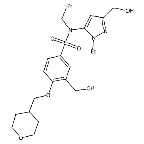 CCn1nc(CO)cc1N(CC(C)C)S(=O)(=O)c1ccc(OCC2CCOCC2)c(CO)c1